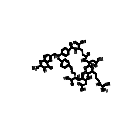 Cc1ccc(SSC[C@H](NC(=O)C(CC(=O)O)NC(=O)C(CCCNC(=N)N)NC(=O)C(CC(=O)O)NC(=O)CCC(NC(=O)c2ccc(NCc3cnc4nc(N)[nH]c(=O)c4n3)cc2)C(=O)O)C(=O)O)cc1